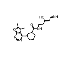 Cc1oc2ncnc(N3CCCC(C(=O)NCC/C(O)=C/C=N)C3)c2c1C